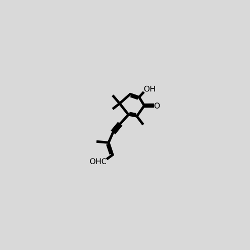 CC1=C(C#C/C(C)=C/C=O)C(C)(C)C=C(O)C1=O